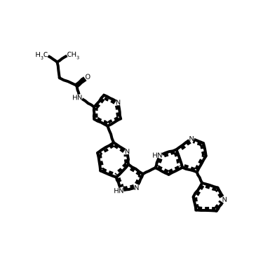 CC(C)CC(=O)Nc1cncc(-c2ccc3[nH]nc(-c4cc5c(-c6cccnc6)ccnc5[nH]4)c3n2)c1